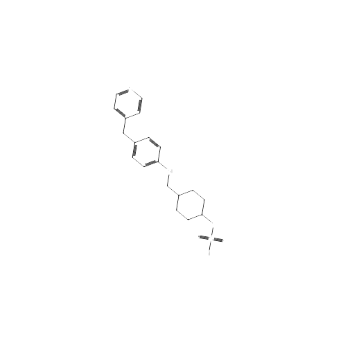 CC(C)S(=O)(=O)NC1CCC(CNc2ccc(Cc3ccncc3)cc2)CC1